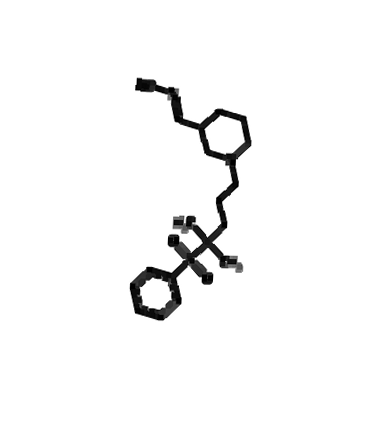 CC(C)(CCCN1CCCC(C=NO)C1)S(=O)(=O)c1ccccc1